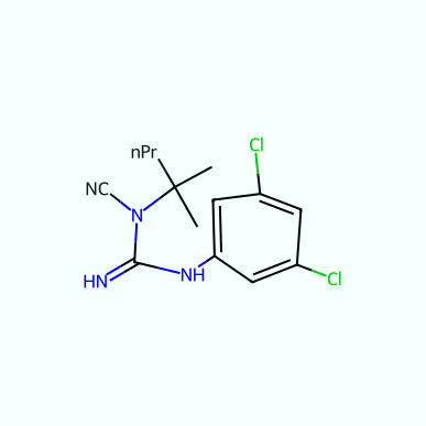 CCCC(C)(C)N(C#N)C(=N)Nc1cc(Cl)cc(Cl)c1